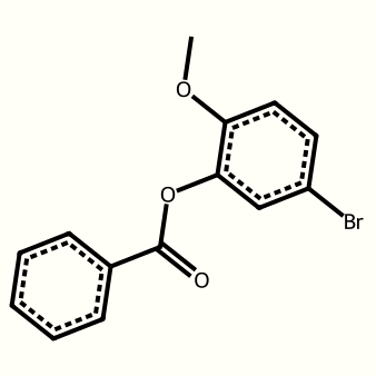 COc1ccc(Br)cc1OC(=O)c1ccccc1